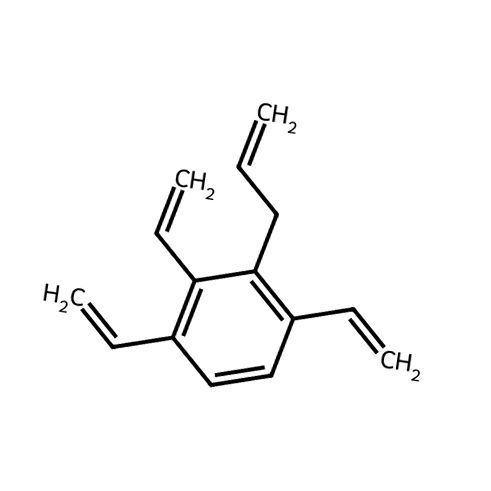 C=CCc1c(C=C)ccc(C=C)c1C=C